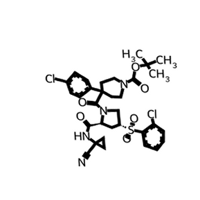 CC(C)(C)OC(=O)N1CCC(C(=O)N2C[C@H](S(=O)(=O)c3ccccc3Cl)C[C@H]2C(=O)NC2(C#N)CC2)(c2ccc(Cl)cc2)CC1